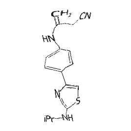 C=C(CC#N)Nc1ccc(-c2csc(NC(C)C)n2)cc1